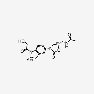 CC(=O)NC[C@H]1CN(c2ccc3c(c2)C[C@@H](C)N3C(=O)CO)C(=O)O1